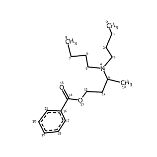 CCCCN(CCCC)C(C)CCOC(=O)c1ccccc1